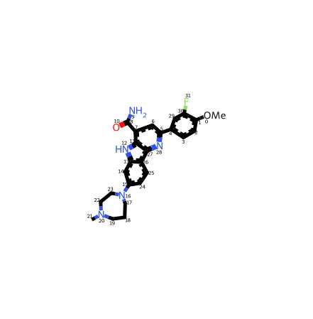 COc1ccc(-c2cc(C(N)=O)c3[nH]c4cc(N5CCCN(C)CC5)ccc4c3n2)cc1F